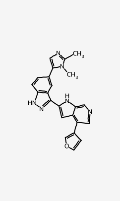 Cc1ncc(-c2ccc3[nH]nc(-c4cc5c(-c6ccoc6)cncc5[nH]4)c3c2)n1C